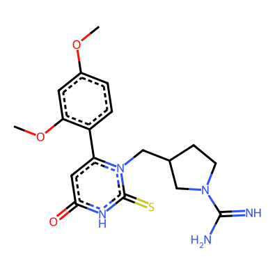 COc1ccc(-c2cc(=O)[nH]c(=S)n2CC2CCN(C(=N)N)C2)c(OC)c1